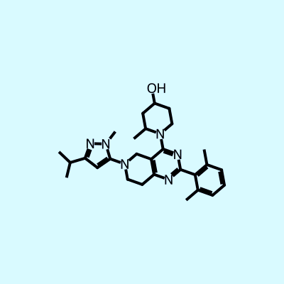 Cc1cccc(C)c1-c1nc2c(c(N3CCC(O)CC3C)n1)CN(c1cc(C(C)C)nn1C)CC2